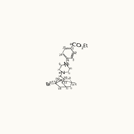 CCOC(=O)c1ccc(N2CCN(CC34CC5CC(C)(CC(Br)(C5)C3)C4)CC2)cc1